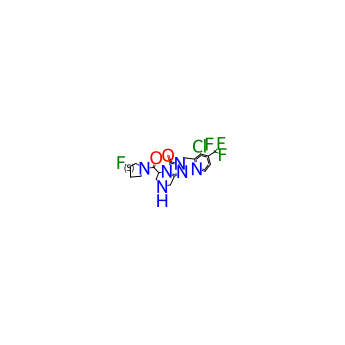 O=C(C1CNCc2nn(Cc3nccc(C(F)(F)F)c3Cl)c(=O)n21)N1CC[C@H](F)C1